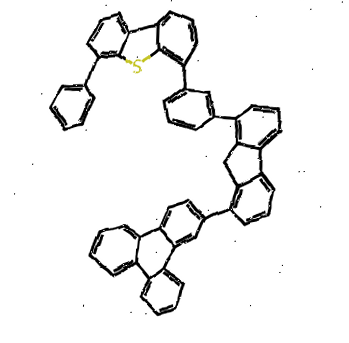 c1ccc(-c2cccc3c2sc2c(-c4cccc(-c5cccc6c5Cc5c(-c7ccc8c9ccccc9c9ccccc9c8c7)cccc5-6)c4)cccc23)cc1